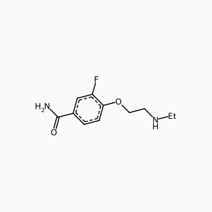 CCNCCOc1ccc(C(N)=O)cc1F